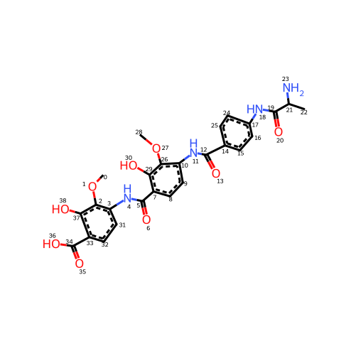 COc1c(NC(=O)c2ccc(NC(=O)c3ccc(NC(=O)C(C)N)cc3)c(OC)c2O)ccc(C(=O)O)c1O